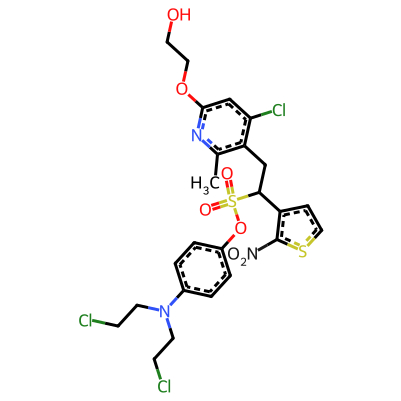 Cc1nc(OCCO)cc(Cl)c1CC(c1ccsc1[N+](=O)[O-])S(=O)(=O)Oc1ccc(N(CCCl)CCCl)cc1